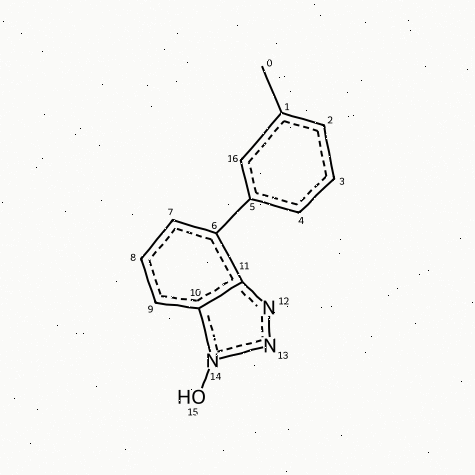 Cc1cccc(-c2cccc3c2nnn3O)c1